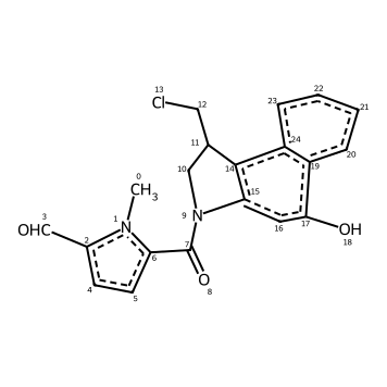 Cn1c(C=O)ccc1C(=O)N1CC(CCl)c2c1cc(O)c1ccccc21